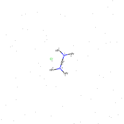 CCC[N](CCC)[Al+][N](CCC)CCC.[Cl-]